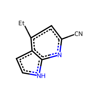 CCc1cc(C#N)nc2[nH]ccc12